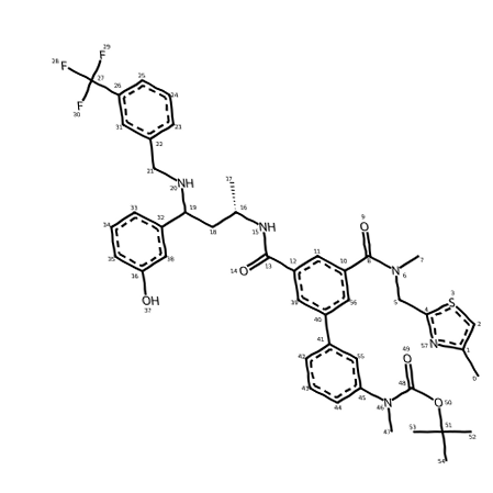 Cc1csc(CN(C)C(=O)c2cc(C(=O)N[C@@H](C)CC(NCc3cccc(C(F)(F)F)c3)c3cccc(O)c3)cc(-c3cccc(N(C)C(=O)OC(C)(C)C)c3)c2)n1